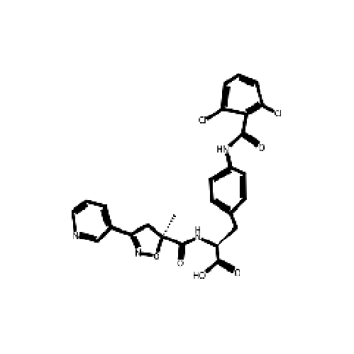 C[C@@]1(C(=O)N[C@@H](Cc2ccc(NC(=O)c3c(Cl)cccc3Cl)cc2)C(=O)O)CC(c2cccnc2)=NO1